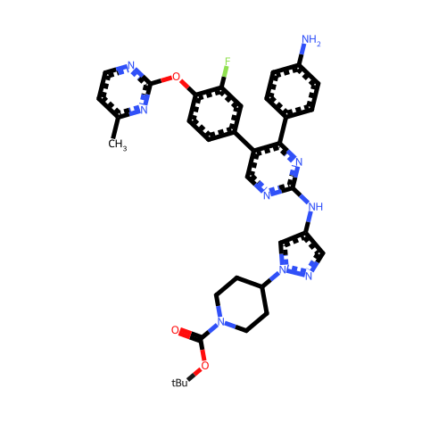 Cc1ccnc(Oc2ccc(-c3cnc(Nc4cnn(C5CCN(C(=O)OC(C)(C)C)CC5)c4)nc3-c3ccc(N)cc3)cc2F)n1